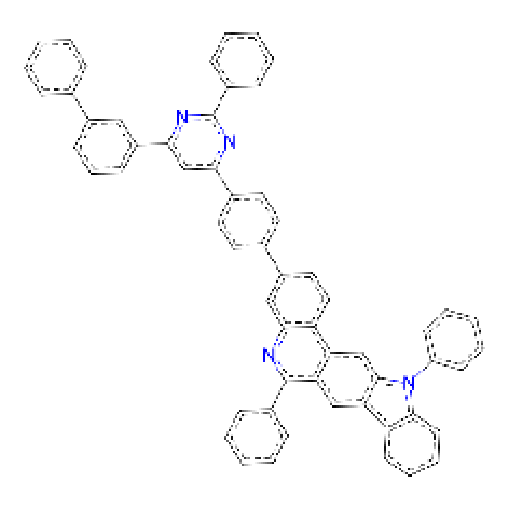 c1ccc(-c2cccc(-c3cc(-c4ccc(-c5ccc6c(c5)nc(-c5ccccc5)c5cc7c8ccccc8n(-c8ccccc8)c7cc56)cc4)nc(-c4ccccc4)n3)c2)cc1